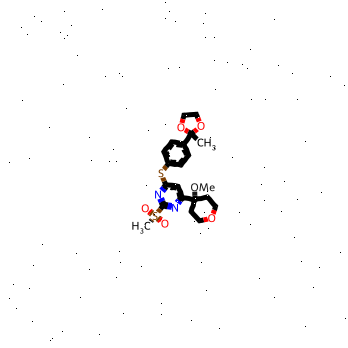 COC1(c2cc(Sc3ccc(C4(C)OCCO4)cc3)nc(S(C)(=O)=O)n2)CCOCC1